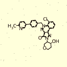 Cc1ccc(-c2ccc(Cn3nc4c(=O)n(C5COCC[C@@H]5O)nc-4c4cccc(Cl)c43)cc2)cn1